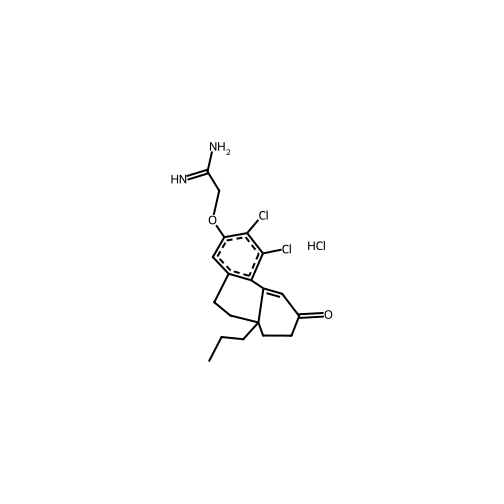 CCCC12CCC(=O)C=C1c1c(cc(OCC(=N)N)c(Cl)c1Cl)CC2.Cl